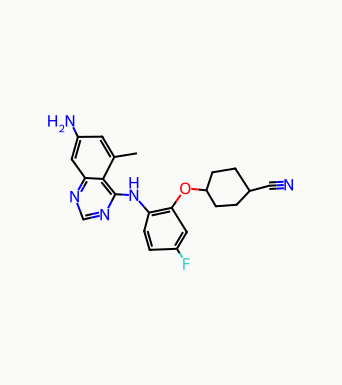 Cc1cc(N)cc2ncnc(Nc3ccc(F)cc3OC3CCC(C#N)CC3)c12